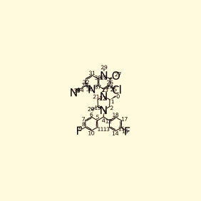 C[C@H]1CN(C(c2ccc(F)cc2)c2ccc(F)cc2)[C@@H](C)CN1c1c(Cl)c(=O)n(C)c2ccc(C#N)nc12